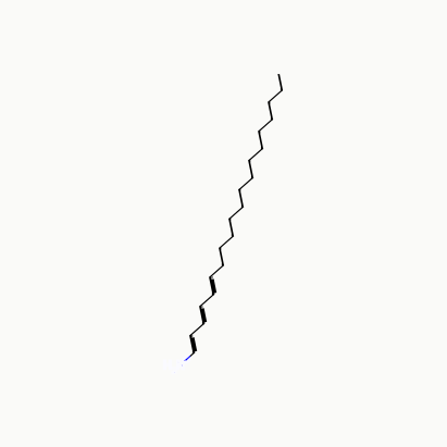 CCCCCCCCCCCCCCC=CC=CC=CN